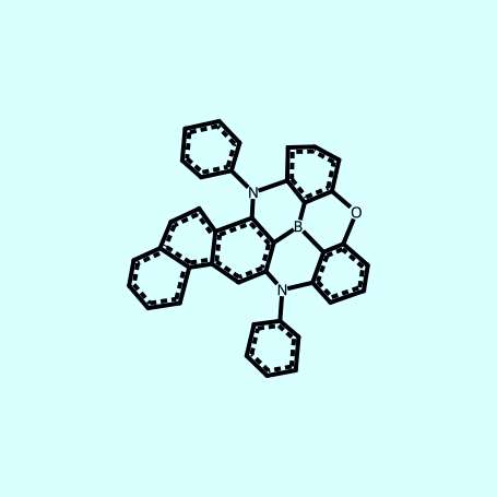 c1ccc(N2c3cccc4c3B3c5c(cccc5N(c5ccccc5)c5c3c2cc2c5ccc3ccccc32)O4)cc1